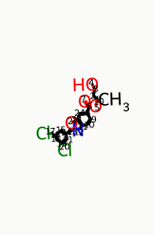 CC(CCO)OC(=O)c1ccc2nc(-c3cc(Cl)cc(Cl)c3)oc2c1